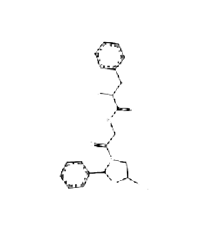 O=C(NCC(=O)N1CC(C(=O)O)OC1c1ccccc1)C(S)Cc1ccccc1